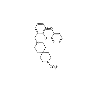 COc1ccccc1Oc1ccccc1CN1CCC2(CC1)CCN(C(=O)O)CC2